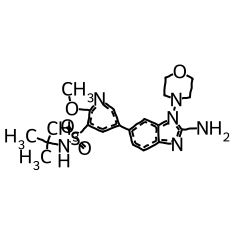 COc1ncc(-c2ccc3nc(N)n(N4CCOCC4)c3c2)cc1S(=O)(=O)NC(C)(C)C